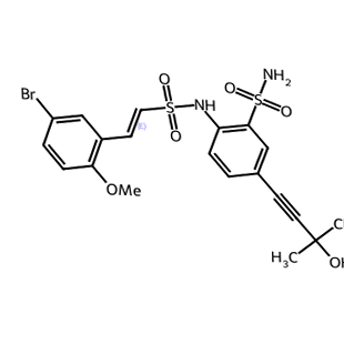 COc1ccc(Br)cc1/C=C/S(=O)(=O)Nc1ccc(C#CC(C)(C)O)cc1S(N)(=O)=O